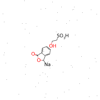 O=C1O[CH]([Na])c2ccccc21.O=S(=O)(O)CCO